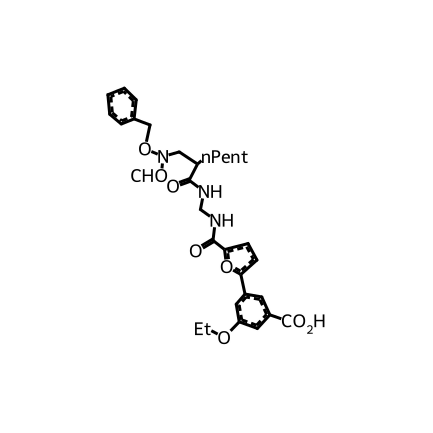 CCCCCC(CN(C=O)OCc1ccccc1)C(=O)NCNC(=O)c1ccc(-c2cc(OCC)cc(C(=O)O)c2)o1